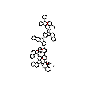 CCc1ccccc1/N=C(\Cc1ccc(-c2ccccc2)c2ccccc12)n1c2ccc(-n3c4ccc(-c5ccc(-c6ccc(C(N)/C(=N\c7ccccc7CC)n7c8ccc(-n9c%10ccccc%10c%10ccc%11ccccc%11c%109)cc8c8c9ccccc9ccc87)cc6)c6ccccc56)cc4c4cc5ccccc5cc43)cc2c2c3ccccc3ccc21